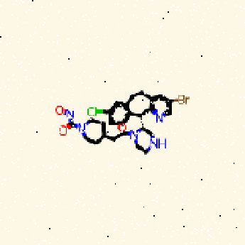 O=NC(=O)N1CCC(CC(=O)N2CCNCC2[C@@H]2c3ccc(Cl)cc3CCc3cc(Br)cnc32)CC1